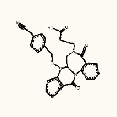 N#Cc1ccc(CON2c3ccccc3C(=O)N3c4ccccc4C(=O)N(CCC(=O)O)CC23)cc1